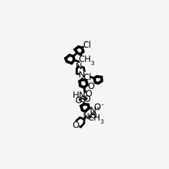 CC(c1ccccc1-c1ccc(Cl)cc1)N1CCN(c2ccc(C(=O)NS(=O)(=O)c3ccc(N(C)C4CCOCC4)c([N+](=O)[O-])c3)c(Oc3ccccc3Cl)c2)CC1